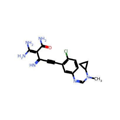 CN(/C=N\c1ccc(Cl)c(C#CC(=N)C(C(N)=O)=C(N)N)c1)C1CC1